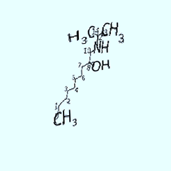 CCCCCCCCC(O)CNC(C)C